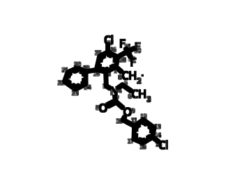 [CH2]c1c(CN(CC)C(=O)OCc2ccc(Cl)cc2)c(-c2ccccc2)cc(Cl)c1C(F)(F)F